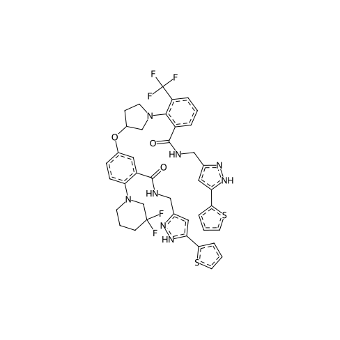 O=C(NCc1cc(-c2cccs2)[nH]n1)c1cc(OC2CCN(c3c(C(=O)NCc4cc(-c5cccs5)[nH]n4)cccc3C(F)(F)F)C2)ccc1N1CCCC(F)(F)C1